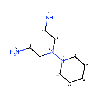 NCCN(CCN)N1CCCCC1